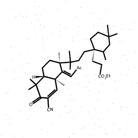 CCOC(=O)CC[C@]1(CCC(C)(C)[C@]2(C)CC[C@H]3C(C)(C)C(=O)C(C#N)=C[C@]3(C)/C2=C/C(C)=O)CCC(C)(C)CC1C